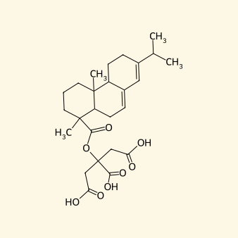 CC(C)C1=CC2=CCC3C(C)(C(=O)OC(CC(=O)O)(CC(=O)O)C(=O)O)CCCC3(C)C2CC1